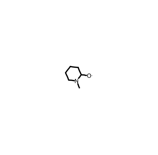 CN1CCCCC1[O]